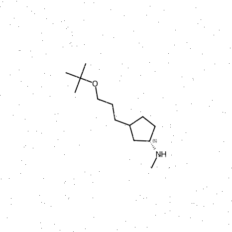 CN[C@H]1CCC(CCCOC(C)(C)C)C1